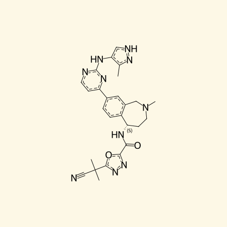 Cc1n[nH]cc1Nc1nccc(-c2ccc3c(c2)CN(C)CC[C@@H]3NC(=O)c2nnc(C(C)(C)C#N)o2)n1